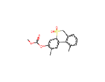 COC(=O)Oc1cc2c(cc1C)-c1c(C)cccc1CS2(=O)=O